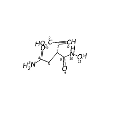 C#CC(=O)O.NC(=O)CCC(=O)NO